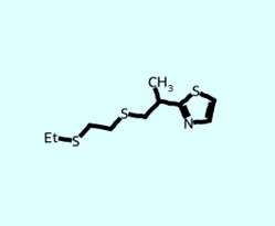 CCSCCSCC(C)c1nccs1